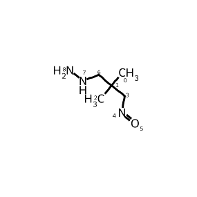 CC(C)(CN=O)CNN